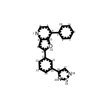 c1ccc(-c2ccnc3cc(-c4cccc(-c5cnsn5)c4)oc23)cc1